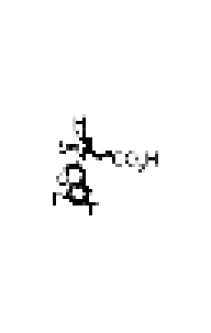 O=C(O)CCc1c[nH]c(=S)n1[C@H]1COc2c(F)cc(F)cc2C1